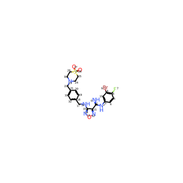 N=C(Nc1ccc(F)c(Br)c1)c1nonc1NCc1ccc(CN2CCS(=O)(=O)CC2)cc1